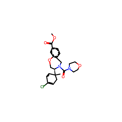 COC(=O)c1ccc2c(c1)OC[C@H](C1(C)C=CC(Cl)=CC1)N(C(=O)N1CCOCC1)C2